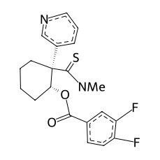 CNC(=S)[C@]1(c2cccnc2)CCCC[C@H]1OC(=O)c1ccc(F)c(F)c1